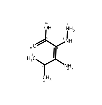 CC(C)/C(N)=C(/NN)C(=O)O